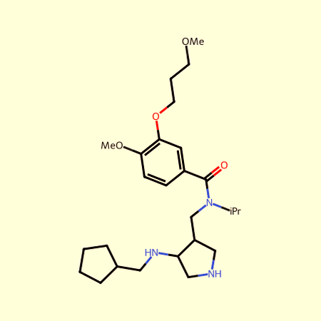 COCCCOc1cc(C(=O)N(CC2CNCC2NCC2CCCC2)C(C)C)ccc1OC